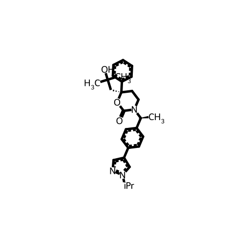 CC(C)n1cc(-c2ccc([C@H](C)N3CC[C@](CC(C)(C)O)(c4ccccc4)OC3=O)cc2)cn1